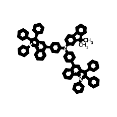 CC1(C)c2ccccc2-c2ccc(N(c3ccc(-c4cc5c(-c6ccccc6)c(-c6ccccc6)n(-c6ccccc6)c5c5ccccc45)cc3)c3ccc(-c4cc5c(-c6ccccc6)c(-c6ccccc6)n(-c6ccccc6)c5c5ccccc45)cc3)cc21